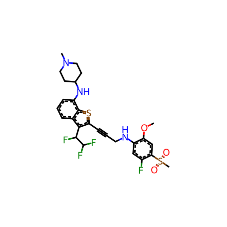 COc1cc(S(C)(=O)=O)c(F)cc1NCC#Cc1sc2c(NC3CCN(C)CC3)cccc2c1C(F)C(F)F